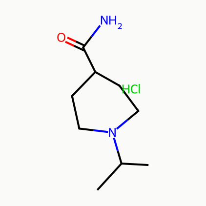 CC(C)N1CCC(C(N)=O)CC1.Cl